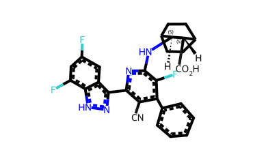 N#Cc1c(-c2n[nH]c3c(F)cc(F)cc23)nc(N[C@H]2C3CCC(CC3)[C@@H]2C(=O)O)c(F)c1-c1ccccc1